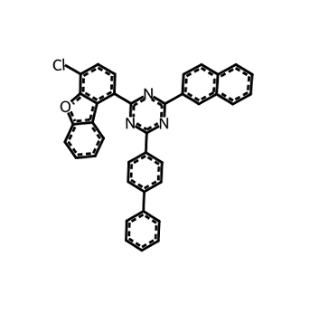 Clc1ccc(-c2nc(-c3ccc(-c4ccccc4)cc3)nc(-c3ccc4ccccc4c3)n2)c2c1oc1ccccc12